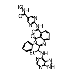 CCC(Nc1ncnc2[nH]cnc12)c1nc2cccc(C(=O)Nc3ncc(C(=O)NO)cn3)c2c(=O)n1-c1ccccc1